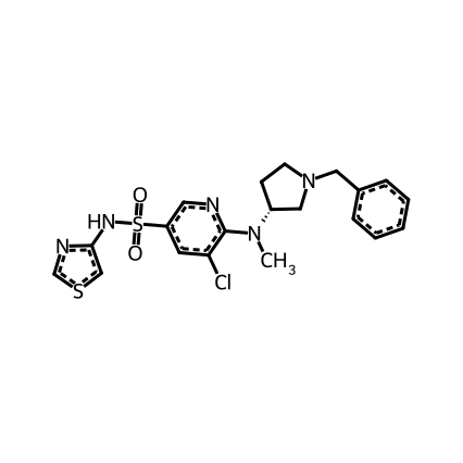 CN(c1ncc(S(=O)(=O)Nc2cscn2)cc1Cl)[C@@H]1CCN(Cc2ccccc2)C1